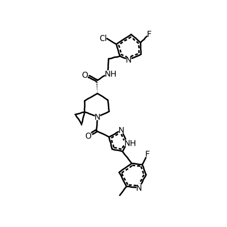 Cc1cc(-c2cc(C(=O)N3CC[C@@H](C(=O)NCc4ncc(F)cc4Cl)CC34CC4)n[nH]2)c(F)cn1